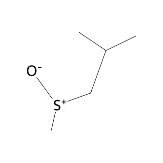 CC(C)C[S+](C)[O-]